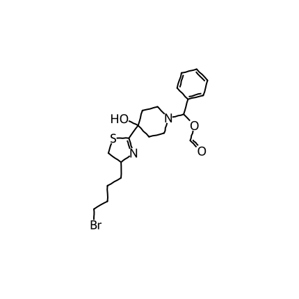 O=COC(c1ccccc1)N1CCC(O)(C2=NC(CCCCBr)CS2)CC1